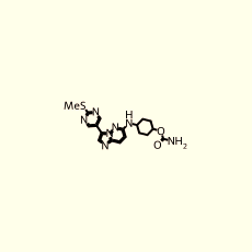 CSc1ncc(-c2cnc3ccc(NC4CCC(OC(N)=O)CC4)nn23)cn1